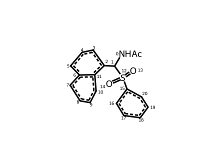 CC(=O)NC(c1cccc2ccccc12)S(=O)(=O)c1ccccc1